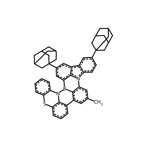 Cc1cc2c3c(c1)-n1c4ccc(C56CC7CC(CC(C7)C5)C6)cc4c4cc(C56CC7CC(CC(C7)C5)C6)cc(c41)B3N1c3ccccc3Sc3cccc-2c31